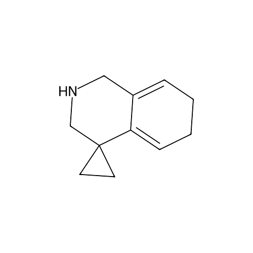 C1=C2CNCC3(CC3)C2=CCC1